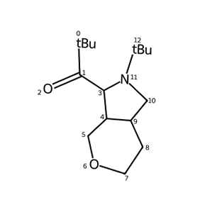 CC(C)(C)C(=O)C1C2COCCC2CN1C(C)(C)C